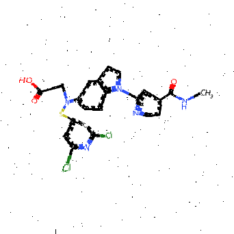 CNC(=O)c1ccnc(-n2ccc3cc(N(CC(=O)O)Sc4cc(Cl)nc(Cl)c4)ccc32)c1